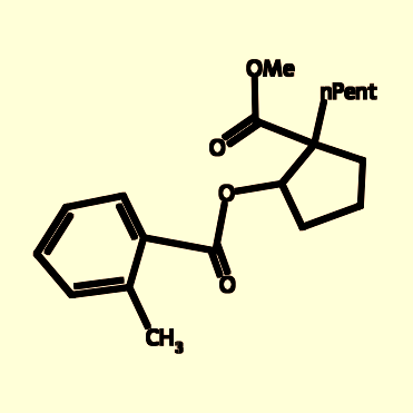 CCCCCC1(C(=O)OC)CCCC1OC(=O)c1ccccc1C